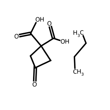 CCCC.O=C1CC(C(=O)O)(C(=O)O)C1